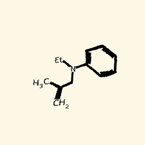 C=C(C)CN(CC)c1ccccc1